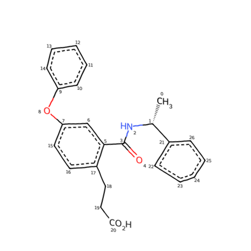 C[C@@H](NC(=O)c1cc(Oc2ccccc2)ccc1CCC(=O)O)c1ccccc1